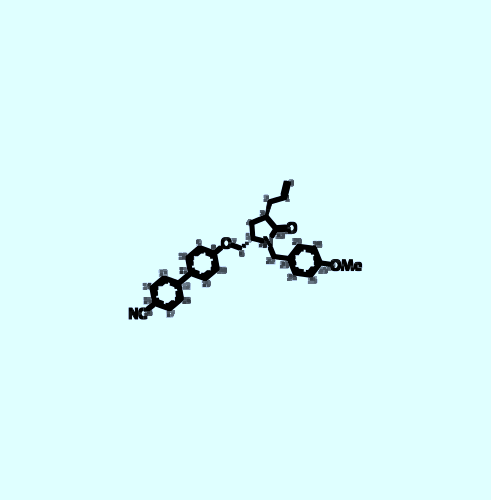 C=CC[C@@H]1C[C@@H](COc2ccc(-c3ccc(C#N)cc3)cc2)N(Cc2ccc(OC)cc2)C1=O